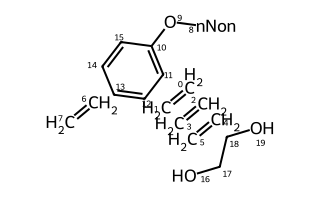 C=C.C=C.C=C.C=C.CCCCCCCCCOc1ccccc1.OCCO